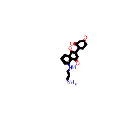 NCCCNc1cccc2c1C(=O)CC(C1CCC(=O)CC1=O)C2=O